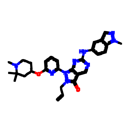 C=CCn1c(=O)c2cnc(Nc3ccc4c(cnn4C)c3)nc2n1-c1cccc(OC2CCN(C)C(C)(C)C2)n1